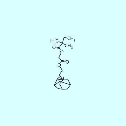 CCC(C)(C)C(=O)OCC(=O)OCCC12CC3CC(C1)C(O)C(C3)C2